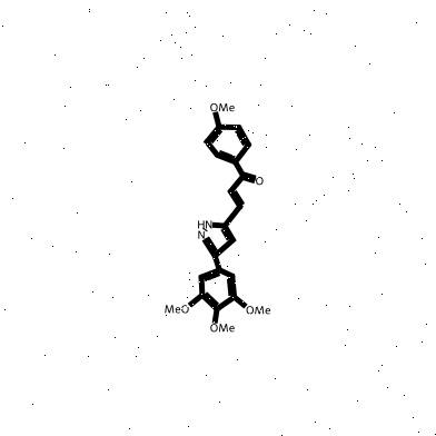 COc1ccc(C(=O)C=Cc2cc(-c3cc(OC)c(OC)c(OC)c3)n[nH]2)cc1